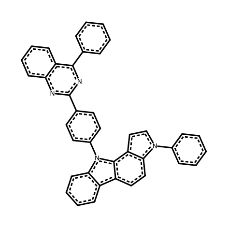 c1ccc(-c2nc(-c3ccc(-n4c5ccccc5c5ccc6c(ccn6-c6ccccc6)c54)cc3)nc3ccccc23)cc1